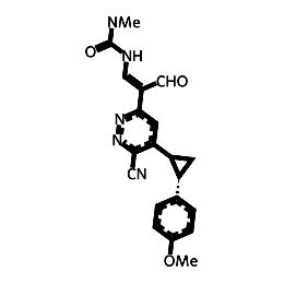 CNC(=O)N/C=C(\C=O)c1cc(C2C[C@@H]2c2ccc(OC)cc2)c(C#N)nn1